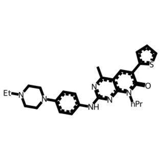 CCCn1c(=O)c(-c2cccs2)cc2c(C)nc(Nc3ccc(N4CCN(CC)CC4)cc3)nc21